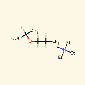 CC[N+](C)(CC)CC.O=C([O-])C(F)(OC(F)(F)C(F)(F)C(F)(F)F)C(F)(F)F